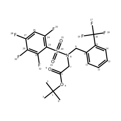 CC(C)(C)OC(=O)CN(Cc1ccccc1C(F)(F)F)S(=O)(=O)c1c(F)cc(F)c(F)c1F